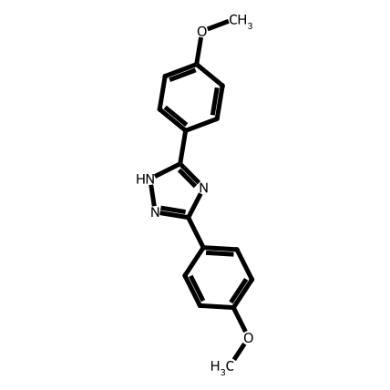 COc1ccc(-c2n[nH]c(-c3ccc(OC)cc3)n2)cc1